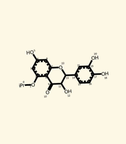 CC(C)Oc1cc(O)cc2c1C(=O)C(O)C(c1ccc(O)c(O)c1)O2